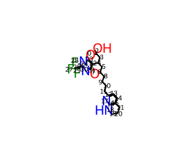 O=C(O)CC(CC(=O)CCCCc1ccc2c(n1)NCCC2)c1cnc(C(F)(F)F)nc1